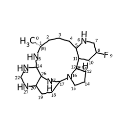 C[C@@H]1CCCC2NCC(F)CC2[C@H]2CCCN2C2CCC3NCNC(N1)C3N2